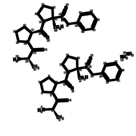 C[C@H](N)C(=O)N1CCC[C@H]1C(=O)N1CCC[C@]1(C(=O)O)[PH](=O)Cc1ccccc1.C[C@H](N)C(=O)N1CCC[C@H]1C(=O)N1CCC[C@]1(C(=O)O)[PH](=O)Cc1ccccc1.N.N